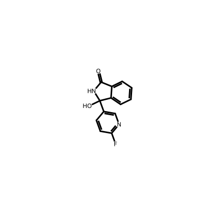 O=C1NC(O)(c2ccc(F)nc2)c2ccccc21